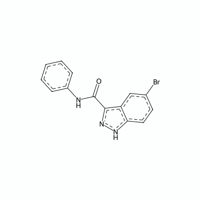 O=C(Nc1ccccc1)c1n[nH]c2ccc(Br)cc12